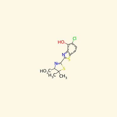 CC1(C)SC(c2nc3c(O)c(Cl)ccc3s2)=NC1C(=O)O